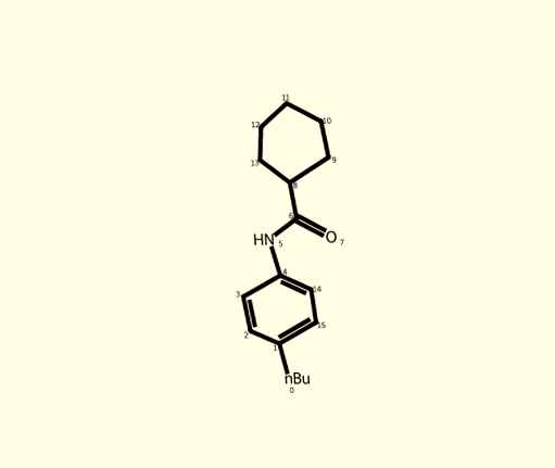 CCCCc1ccc(NC(=O)C2CCCCC2)cc1